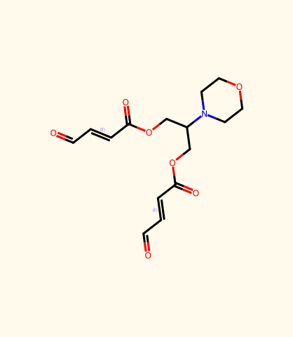 O=C/C=C/C(=O)OCC(COC(=O)/C=C/C=O)N1CCOCC1